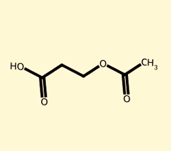 CC(=O)OCCC(=O)O